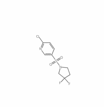 O=S(=O)(c1ccc(Cl)nc1)N1CCC(F)(F)C1